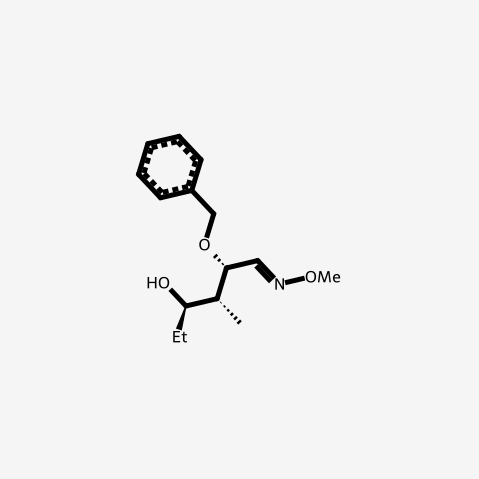 CC[C@@H](O)[C@@H](C)[C@@H](C=NOC)OCc1ccccc1